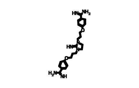 N=C(N)c1ccc(OCCCN2CCN(CCCOc3ccc(C(=N)N)cc3)C2=N)cc1